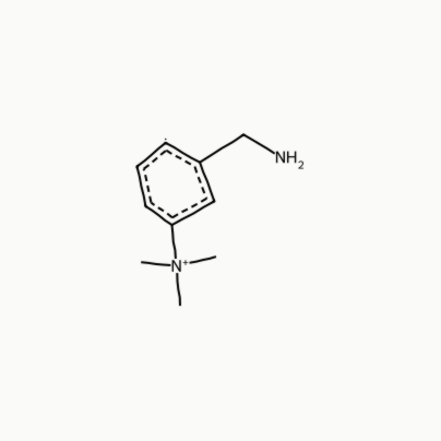 C[N+](C)(C)c1cc[c]c(CN)c1